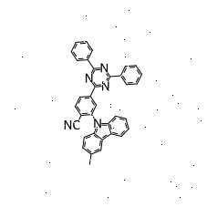 Cc1ccc2c(c1)c1ccccc1n2-c1cc(-c2nc(-c3ccccc3)nc(-c3ccccc3)n2)ccc1C#N